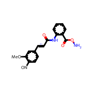 COc1cc(/C=C/C(=O)Nc2ccccc2C(=O)ON)ccc1N=O